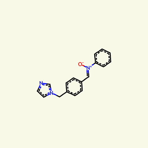 [O-]/[N+](=C\c1ccc(Cn2ccnc2)cc1)c1ccccc1